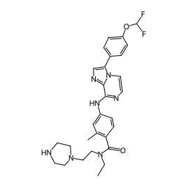 CCN(CCN1CCNCC1)C(=O)c1ccc(Nc2nccn3c(-c4ccc(OC(F)F)cc4)cnc23)cc1C